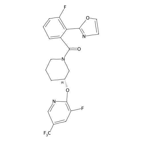 O=C(c1cccc(F)c1-c1ncco1)N1CCC[C@@H](Oc2ncc(C(F)(F)F)cc2F)C1